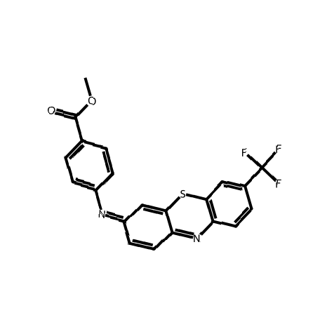 COC(=O)c1ccc(/N=c2/ccc3nc4ccc(C(F)(F)F)cc4sc-3c2)cc1